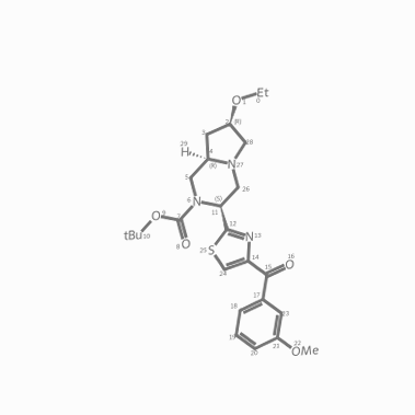 CCO[C@@H]1C[C@@H]2CN(C(=O)OC(C)(C)C)[C@H](c3nc(C(=O)c4cccc(OC)c4)cs3)CN2C1